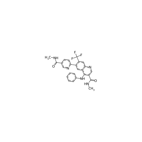 CNC(=O)c1ccc(-c2cc3c(Nc4ccccc4)c(C(=O)NC)cnc3cc2C(F)(F)F)nc1